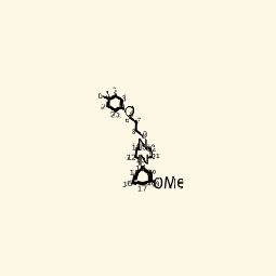 [CH2]c1ccc(OCCCCN2CCN(c3cccc(OC)c3)CC2)cc1